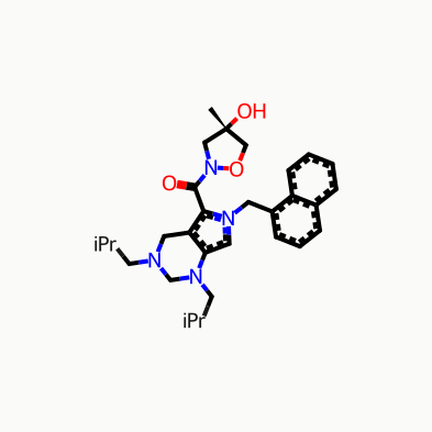 CC(C)CN1Cc2c(cn(Cc3cccc4ccccc34)c2C(=O)N2C[C@](C)(O)CO2)N(CC(C)C)C1